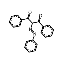 O=C(c1ccccc1)C(N=Nc1ccccc1)C(=O)c1ccccc1